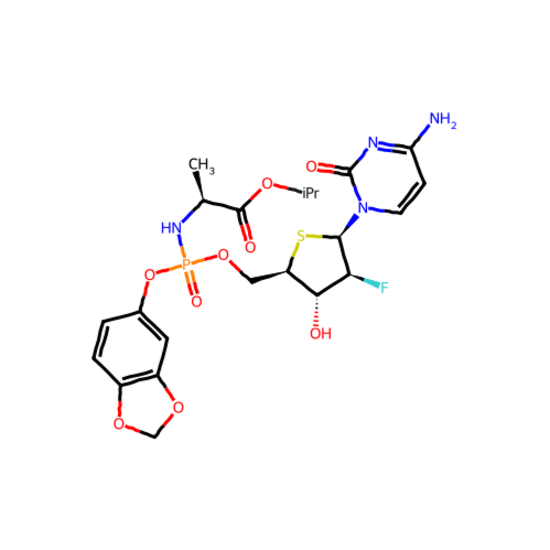 CC(C)OC(=O)[C@H](C)NP(=O)(OC[C@H]1S[C@@H](n2ccc(N)nc2=O)[C@@H](F)[C@@H]1O)Oc1ccc2c(c1)OCO2